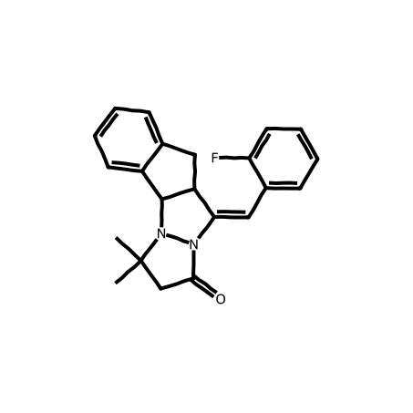 CC1(C)CC(=O)N2/C(=C/c3ccccc3F)C3Cc4ccccc4C3N21